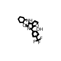 Oc1cc(C(F)(F)F)ccc1-c1nnc(NC2CCCCC2O)c2ccoc12